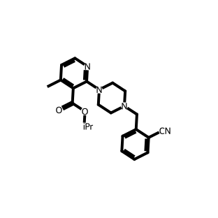 Cc1ccnc(N2CCN(Cc3ccccc3C#N)CC2)c1C(=O)OC(C)C